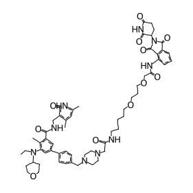 CCN(c1cc(-c2ccc(CN3CCN(CC(=O)NCCCCCOCCCOCC(=O)Nc4cccc5c4C(=O)N(C4CCC(=O)NC4=O)C5=O)CC3)cc2)cc(C(=O)NCc2c(C)cc(C)[nH]c2=O)c1C)C1CCOCC1